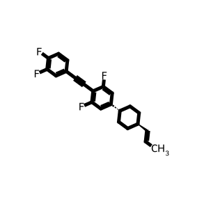 CC=C[C@H]1CC[C@H](c2cc(F)c(C#Cc3ccc(F)c(F)c3)c(F)c2)CC1